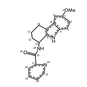 COc1ccc2[nH]c3c(c2c1)CCCC3NC(=O)c1ccccn1